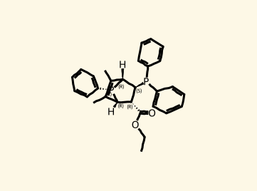 CCOC(=O)[C@H]1[C@H](P(c2ccccc2)c2ccccc2)[C@H]2C(C)=C(C)[C@@H]1[P@]2c1ccccc1